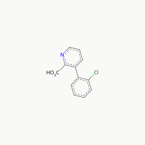 O=C(O)c1ncccc1-c1ccccc1Cl